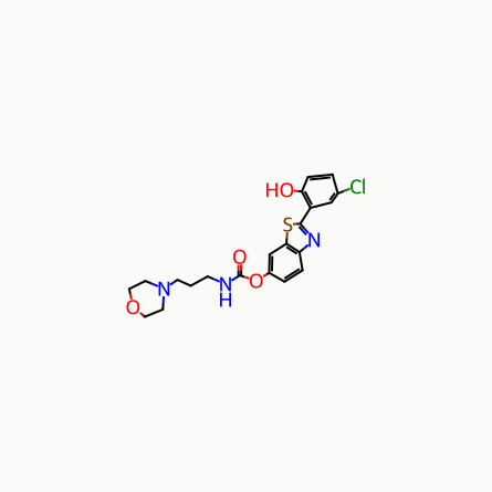 O=C(NCCCN1CCOCC1)Oc1ccc2nc(-c3cc(Cl)ccc3O)sc2c1